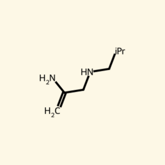 C=C(N)CNCC(C)C